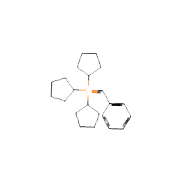 C(c1ccccc1)=P(C1CCCC1)(C1CCCC1)C1CCCC1